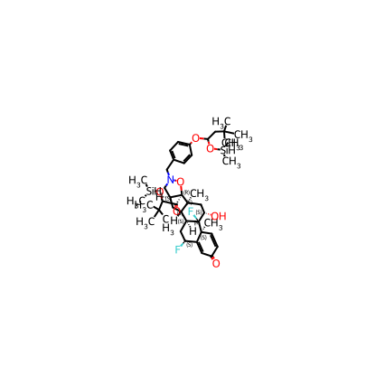 C[SiH](C)OC(CC(C)(C)C)Oc1ccc(CN2C[C@@H]3C[C@H]4[C@@H]5C[C@H](F)C6=CC(=O)C=C[C@]6(C)[C@@]5(F)[C@@H](O)C[C@]4(C)[C@]3(C(=O)C(O[SiH](C)C)C(C)(C)C)O2)cc1